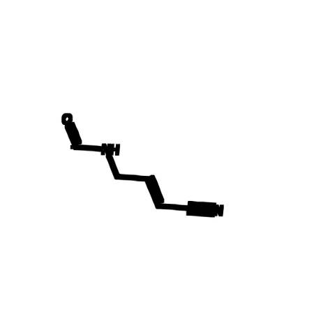 N#CC=CCN[C]=O